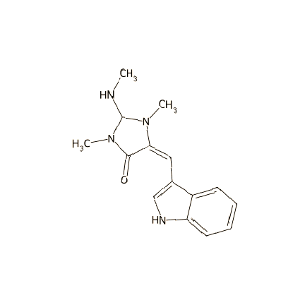 CNC1N(C)C(=O)C(=Cc2c[nH]c3ccccc23)N1C